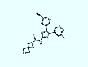 Cc1cc(-c2sc(NC(=O)N3CC4(COC4)C3)nc2-c2cccc(C#N)c2)cnn1